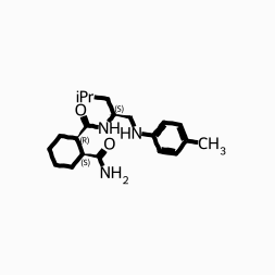 Cc1ccc(NC[C@H](CC(C)C)NC(=O)[C@@H]2CCCC[C@@H]2C(N)=O)cc1